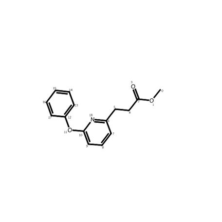 COC(=O)CCc1cccc(Oc2ccccc2)n1